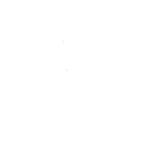 Cc1ccc(C(C)C)cc1N(C)CCN(C)C